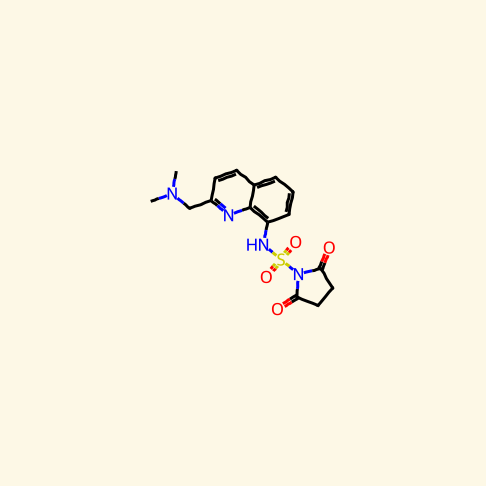 CN(C)Cc1ccc2cccc(NS(=O)(=O)N3C(=O)CCC3=O)c2n1